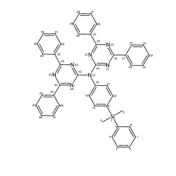 C[Si](C)(c1ccccc1)c1ccc(N(c2nc(-c3ccccc3)nc(-c3ccccc3)n2)c2nc(-c3ccccc3)nc(-c3ccccc3)n2)cc1